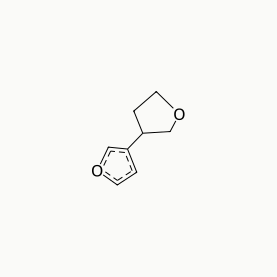 c1cc(C2CCOC2)co1